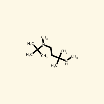 CNC(C)(C)CCN(C)C(C)(C)C